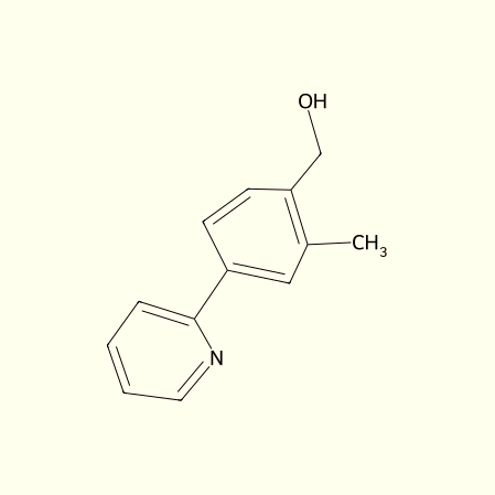 Cc1cc(-c2ccccn2)ccc1CO